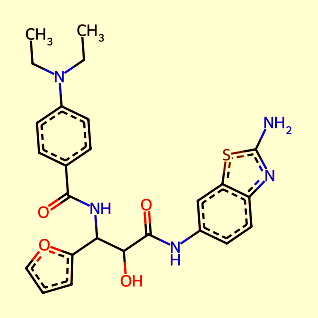 CCN(CC)c1ccc(C(=O)NC(c2ccco2)C(O)C(=O)Nc2ccc3nc(N)sc3c2)cc1